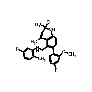 COc1cc(F)ccc1-c1ccc2c(c1CNc1cc(F)ccc1C)C(C)=CC(C)(C)N2